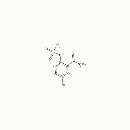 COC(=O)c1cc(C(C)=O)ccc1OS(=O)(=O)C(F)(F)F